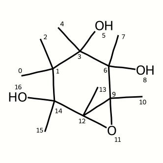 CC1(C)C(C)(O)C(C)(O)C2(C)OC2(C)C1(C)O